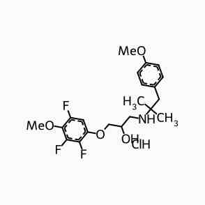 COc1ccc(CC(C)(C)NCC(O)COc2cc(F)c(OC)c(F)c2F)cc1.Cl